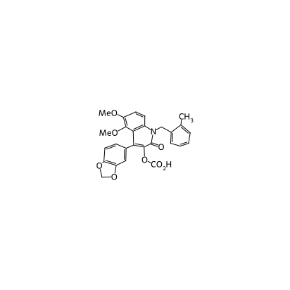 COc1ccc2c(c1OC)c(-c1ccc3c(c1)OCO3)c(OC(=O)O)c(=O)n2Cc1ccccc1C